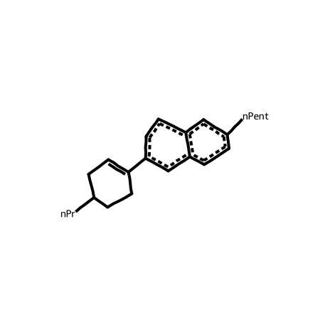 CCCCCc1ccc2cc(C3=CCC(CCC)CC3)ccc2c1